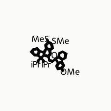 COc1ccc(C2(C3=CC=CCC3)C=Cc3c4c(c5cc(SC)c(SC)cc5c3O2)-c2ccccc2C4(CC(C)C)CC(C)C)cc1